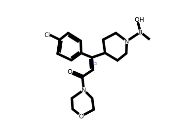 CB(O)N1CCC(/C(=C/C(=O)N2CCOCC2)c2ccc(Cl)cc2)CC1